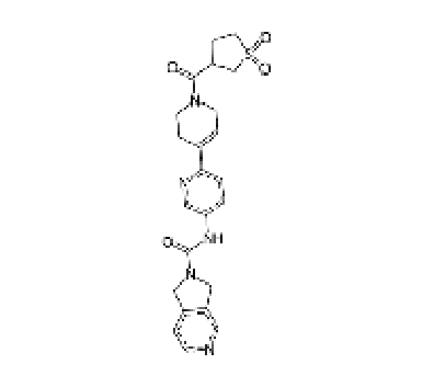 O=C(Nc1ccc(C2=CCN(C(=O)C3CCS(=O)(=O)C3)CC2)nc1)N1Cc2ccncc2C1